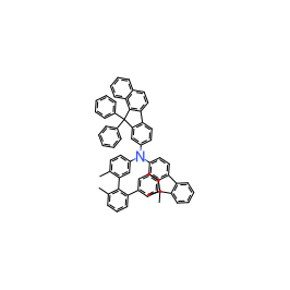 Cc1ccc(N(c2ccc3c(c2)C(C)(C)c2ccccc2-3)c2ccc3c(c2)C(c2ccccc2)(c2ccccc2)c2c-3ccc3ccccc23)cc1-c1c(C)cccc1-c1ccccc1